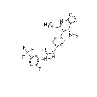 C=CC1=Nc2occc2C(N)N1c1ccc(NC(=O)Nc2cc(C(F)(F)F)ccc2F)cc1